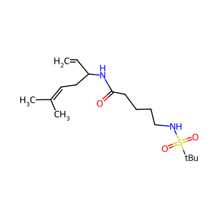 C=CC(CC=C(C)C)NC(=O)CCCCNS(=O)(=O)C(C)(C)C